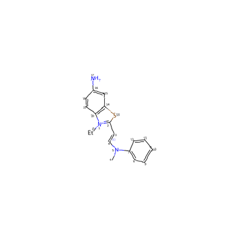 CC[n+]1c(/C=C/N(C)c2ccccc2)sc2cc(N)ccc21